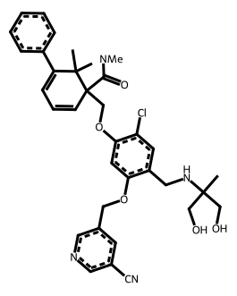 CNC(=O)C1(COc2cc(OCc3cncc(C#N)c3)c(CNC(C)(CO)CO)cc2Cl)C=CC=C(c2ccccc2)C1(C)C